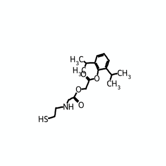 CC(C)c1cccc(C(C)C)c1OC(=O)COC(=O)CNCCS